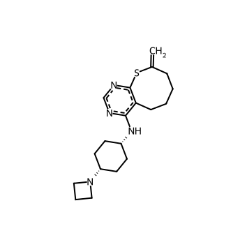 C=C1CCCCc2c(N[C@H]3CC[C@@H](N4CCC4)CC3)ncnc2S1